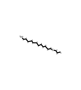 [2H][CH]CCCCCCCCCCCCCCC